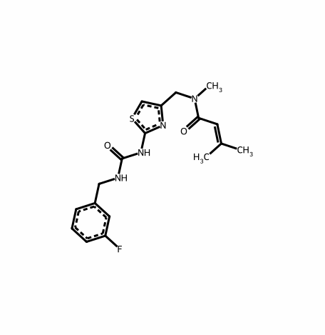 CC(C)=CC(=O)N(C)Cc1csc(NC(=O)NCc2cccc(F)c2)n1